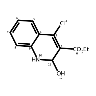 CCOC(=O)C1=C(Cl)c2ccccc2NC1O